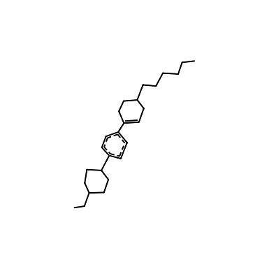 CCCCCCC1CC=C(c2ccc(C3CCC(CC)CC3)cc2)CC1